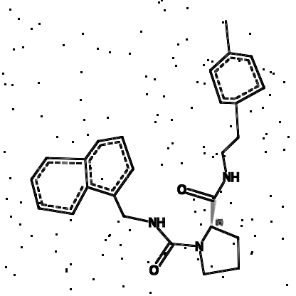 Cc1ccc(CCNC(=O)[C@@H]2CCCN2C(=O)NCc2cccc3ccccc23)cc1